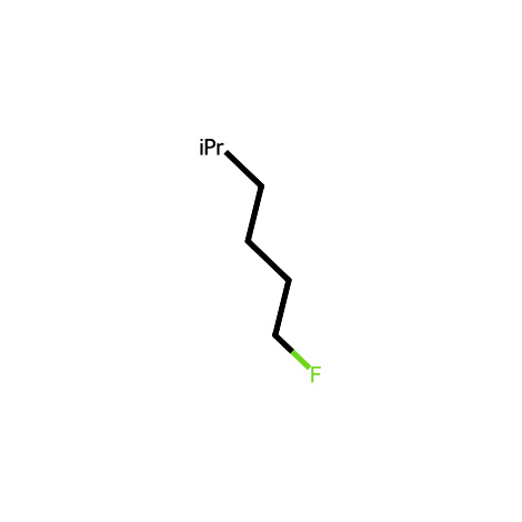 [CH2]C(C)CCCCF